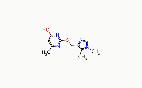 Cc1cc(O)nc(SCc2ncn(C)c2C)n1